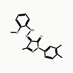 COc1ccccc1N/N=C1\C(=O)N(c2ccc(C)c(C)c2)N=C1C